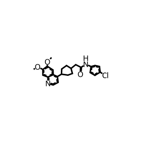 COc1cc2nccc(C3CCC(CC(=O)Nc4ccc(Cl)cc4)CC3)c2cc1OC